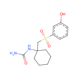 NC(=O)NC1(CS(=O)(=O)c2cccc(O)c2)CCCCC1